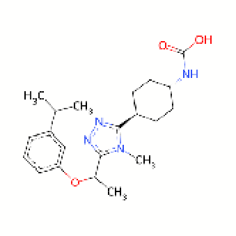 CC(C)c1cccc(OC(C)c2nnc([C@H]3CC[C@H](NC(=O)O)CC3)n2C)c1